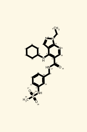 CCn1ncc2c(NC3CCCCC3)c(C(=O)NCc3cccc(NS(C)(=O)=O)c3)cnc21